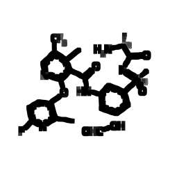 Cc1nc(F)ccc1Oc1ncc(C(F)(F)F)c(C)c1C(=O)Nc1cccc([S@@](C)(=O)=NC(=O)[C@@H](C)N)c1.O=CO